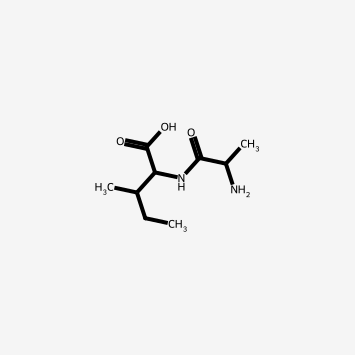 CCC(C)C(NC(=O)C(C)N)C(=O)O